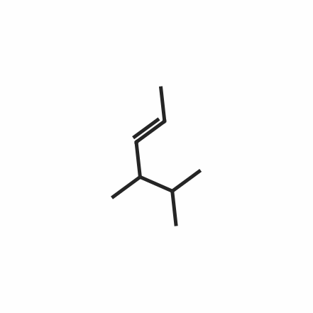 C/C=C/C(C)C(C)C